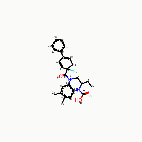 CCC1CN(C(=O)C2(F)C=CC(c3ccccc3)=CC2)c2cc(C)c(C)cc2N1C(=O)O